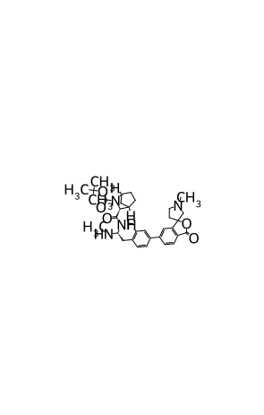 CN[C@H](Cc1ccc(-c2ccc3c(c2)C2(CCN(C)C2)OC3=O)cc1F)NC(=O)[C@@H]1[C@H]2CC[C@H](C2)N1C(=O)OC(C)(C)C